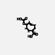 O=C(O)OC1/C=C/CCC(C(=O)O)CC1